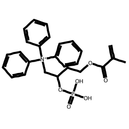 C=C(C)C(=O)OCCC(C[N+](c1ccccc1)(c1ccccc1)c1ccccc1)OP(=O)(O)O